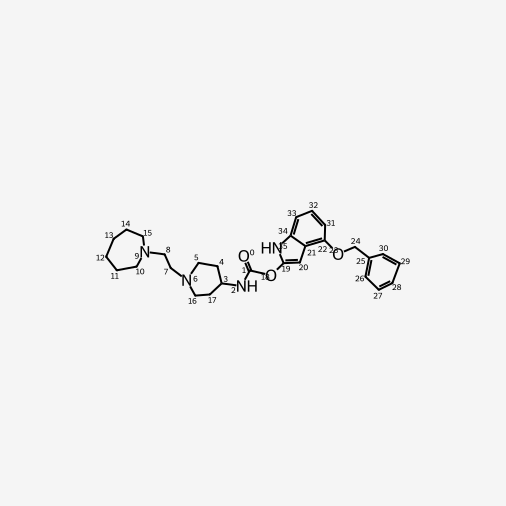 O=C(NC1CCN(CCN2CCCCCC2)CC1)Oc1cc2c(OCc3ccccc3)cccc2[nH]1